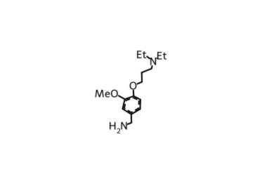 CCN(CC)CCCOc1ccc(CN)cc1OC